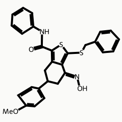 COc1ccc(C2C/C(=N\O)c3c(SCc4ccccc4)sc(C(=O)Nc4ccccc4)c3C2)cc1